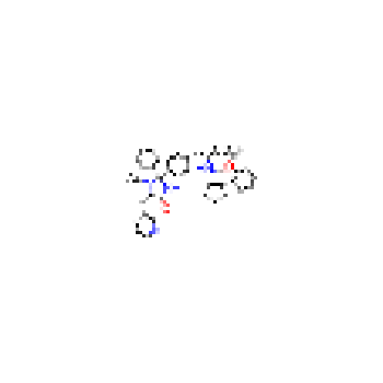 CC(=O)N1[C@H](Cc2cccnc2)C(=O)NC1(c1ccccc1)c1ccc(C[C@H](NC(=O)C2(c3ccccc3)CCCC2)C(=O)O)cc1